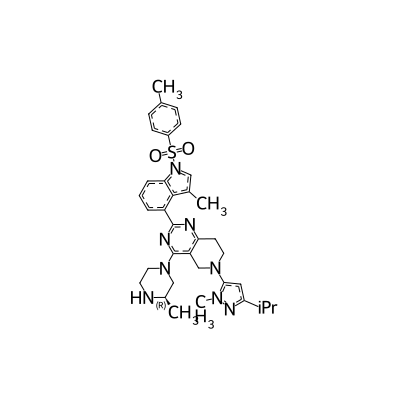 Cc1ccc(S(=O)(=O)n2cc(C)c3c(-c4nc5c(c(N6CCN[C@H](C)C6)n4)CN(c4cc(C(C)C)nn4C)CC5)cccc32)cc1